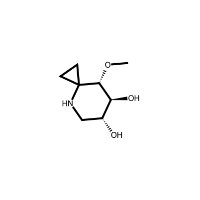 CO[C@@H]1[C@@H](O)[C@H](O)CNC12CC2